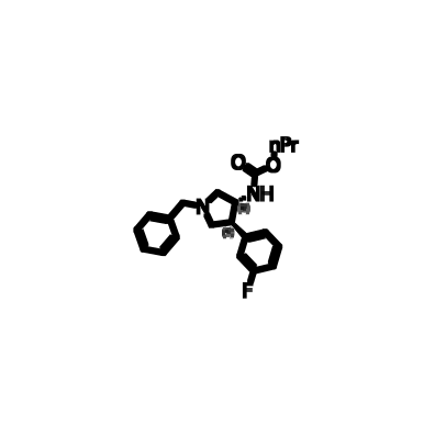 CCCOC(=O)N[C@H]1CN(Cc2ccccc2)C[C@@H]1c1cccc(F)c1